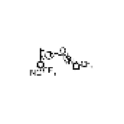 O=Nc1ccc(NC2CCN(CCC(=O)N3CCN(c4cccc(C(F)(F)F)c4)CC3)CC2)cc1C(F)(F)F